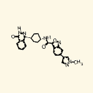 Cn1cc(-c2ccc3c(C(=O)N[C@H]4CC[C@H](c5n[nH]c(=O)c6ccccc65)CC4)onc3c2)cn1